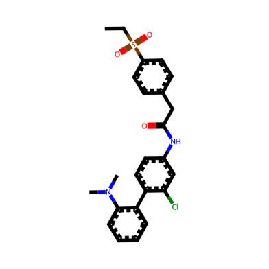 CCS(=O)(=O)c1ccc(CC(=O)Nc2ccc(-c3ccccc3N(C)C)c(Cl)c2)cc1